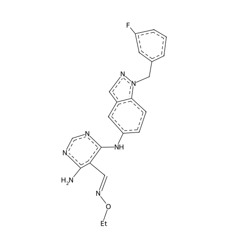 CCON=Cc1c(N)ncnc1Nc1ccc2c(cnn2Cc2cccc(F)c2)c1